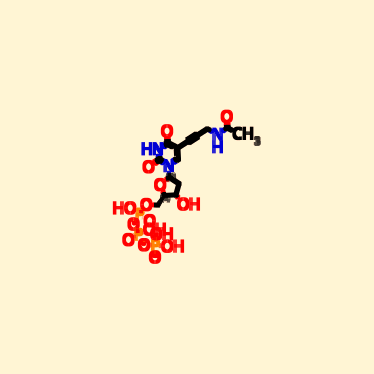 CC(=O)NCC#Cc1cn([C@H]2CC(O)[C@@H](COP(=O)(O)OP(=O)(O)OP(=O)(O)O)O2)c(=O)[nH]c1=O